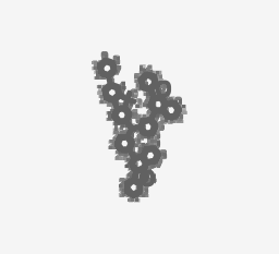 CC1(C)c2cc(-c3ccccc3)ccc2-c2ccc(C(c3cccc(-c4cc5c6ccccc6oc5c5ccccc45)c3)c3cccc(-c4cc5c6ccccc6oc5c5ccccc45)c3)cc21